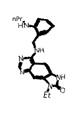 CCCNc1ccccc1CNc1ncnc2cc3c(cc12)[nH]c(=O)n3CC